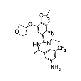 Cc1nc(N[C@H](C)c2cc(N)cc(C(F)(F)F)c2)c2cc(O[C@H]3CCOC3)c3oc(C)cc3c2n1